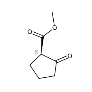 COC(=O)[C@@H]1CCCC1=O